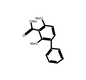 COC(=O)c1c(OC)ccc(-c2ccccc2)c1OC